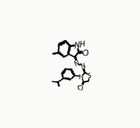 Cc1ccc2c(c1)C(=NN=C1SCC(=O)N1c1cccc(C(C)C)c1)C(=O)N2